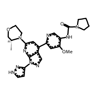 COc1cc(-c2cc(N3CCOC[C@H]3C)nc3c2cnn3-c2cc[nH]n2)ncc1NC(=O)N1CCCC1